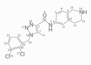 Cc1c(C(=O)Nc2ccc3c(c2)CCNC3)nnn1Cc1cccc(Cl)c1Cl